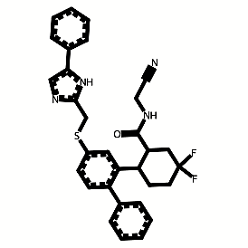 N#CCNC(=O)C1CC(F)(F)CCC1c1cc(SCc2ncc(-c3ccccc3)[nH]2)ccc1-c1ccccc1